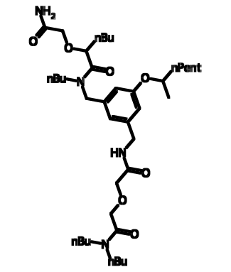 CCCCCC(C)Oc1cc(CNC(=O)COCC(=O)N(CCCC)CCCC)cc(CN(CCCC)C(=O)C(CCCC)OCC(N)=O)c1